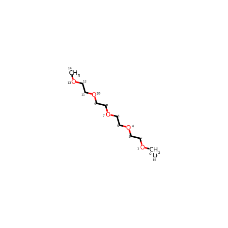 COCCOCCOCCOCCOC.[Li]